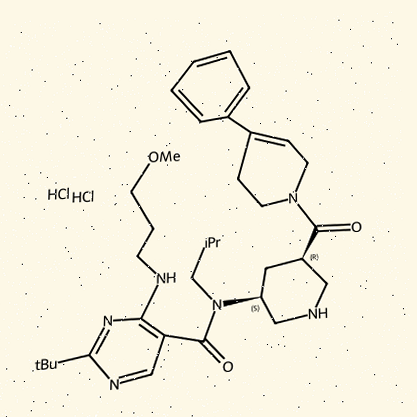 COCCCNc1nc(C(C)(C)C)ncc1C(=O)N(CC(C)C)[C@@H]1CNC[C@H](C(=O)N2CC=C(c3ccccc3)CC2)C1.Cl.Cl